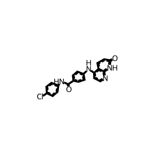 O=C(Nc1ccc(Cl)cc1)c1ccc(Nc2ccnc3[nH]c(=O)ccc23)cc1